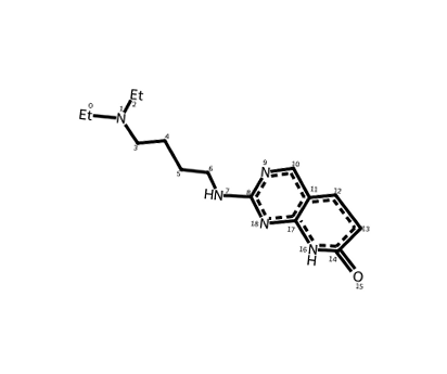 CCN(CC)CCCCNc1ncc2ccc(=O)[nH]c2n1